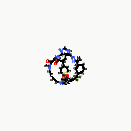 C[C@H]1Nc2ncnc3c2cc(C2CCS(=O)(=O)CC2)c(=O)n3CC(=O)N(C)CCCCN2CCC(CC2(C)C)C(F)(F)c2cccc1c2